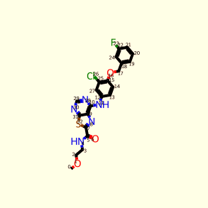 COCCNC(=O)c1nc2c(Nc3ccc(OCc4cccc(F)c4)c(Cl)c3)ncnc2s1